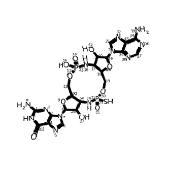 Nc1nc2c(ncn2C2OC3COP(=O)(O)NC4C(COP(=O)(S)NC3C2O)OC(n2cnc3c(N)ncnc32)C4O)c(=O)[nH]1